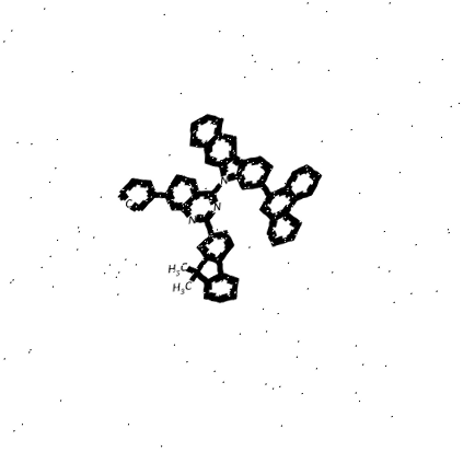 CC1(C)c2ccccc2-c2ccc(-c3nc(-n4c5cc(-c6cc7ccccc7c7ccccc67)ccc5c5cc6ccccc6cc54)c4ccc(-c5ccccc5)cc4n3)cc21